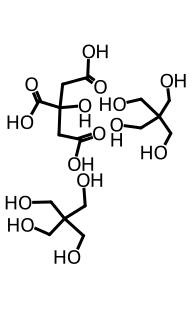 O=C(O)CC(O)(CC(=O)O)C(=O)O.OCC(CO)(CO)CO.OCC(CO)(CO)CO